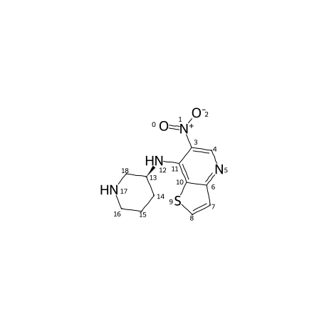 O=[N+]([O-])c1cnc2ccsc2c1N[C@H]1CCCNC1